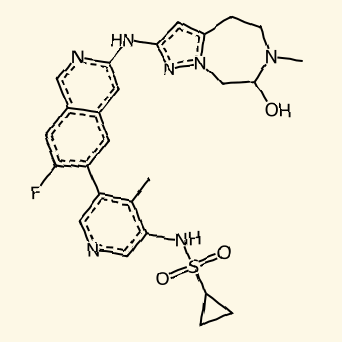 Cc1c(NS(=O)(=O)C2CC2)cncc1-c1cc2cc(Nc3cc4n(n3)CC(O)N(C)CC4)ncc2cc1F